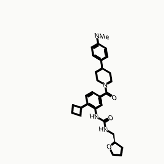 CNc1ccc(C2CCN(C(=O)c3ccc(C4CCC4)c(NC(=O)NC[C@H]4CCCO4)c3)CC2)cc1